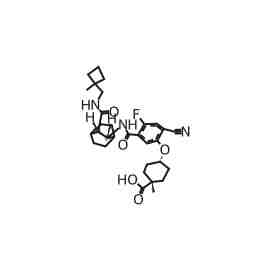 CC1(CNC(=O)[C@H]2C3CCC(CC3)[C@H]2NC(=O)c2cc(O[C@H]3CC[C@@](C)(C(=O)O)CC3)c(C#N)cc2F)CCC1